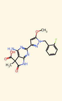 COc1cc(-c2nc(N)c3c(n2)NC(=O)C3(C)C(=O)O)nn1Cc1ccccc1F